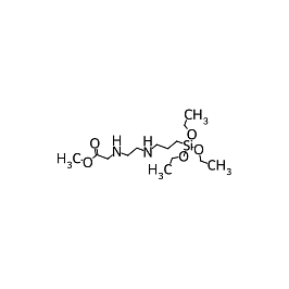 CCO[Si](CCCNCCNCC(=O)OC)(OCC)OCC